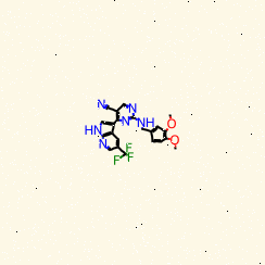 COc1ccc(CNc2ncc(C#N)c(-c3c[nH]c4ncc(C(F)(F)F)cc34)n2)cc1OC